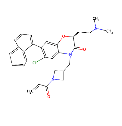 C=CC(=O)N1CC(CN2C(=O)[C@H](CCN(C)C)Oc3cc(-c4cccc5ccccc45)c(Cl)cc32)C1